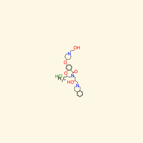 C[C@@H]1CN(C[C@H](O)CN2CCc3ccccc3C2)C(=O)c2ccc(OC3CCN(CCO)CC3)cc2O1.Cl